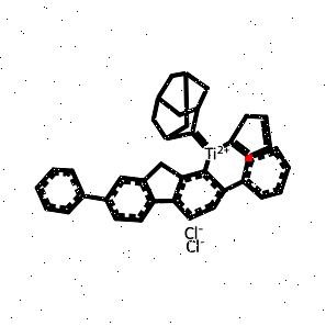 C1=CC[C]([Ti+2](=[C]2C3CC4CC(C3)CC2C4)[c]2c(-c3ccccc3)ccc3c2Cc2cc(-c4ccccc4)ccc2-3)=C1.[Cl-].[Cl-]